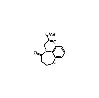 COC(=O)CN1C(=O)CC[CH]c2ccccc21